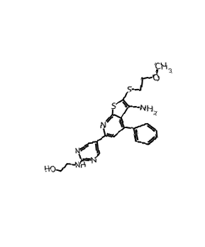 COCCSc1sc2nc(-c3cnc(NCCO)nc3)cc(-c3ccccc3)c2c1N